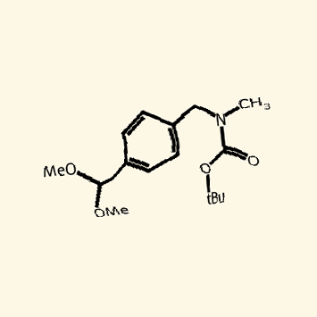 COC(OC)c1ccc(CN(C)C(=O)OC(C)(C)C)cc1